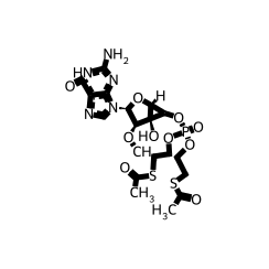 CO[C@H]1[C@H](n2cnc3c(=O)[nH]c(N)nc32)O[C@@H]2C(OP(=O)(OCCSC(C)=O)OCCSC(C)=O)[C@@]21O